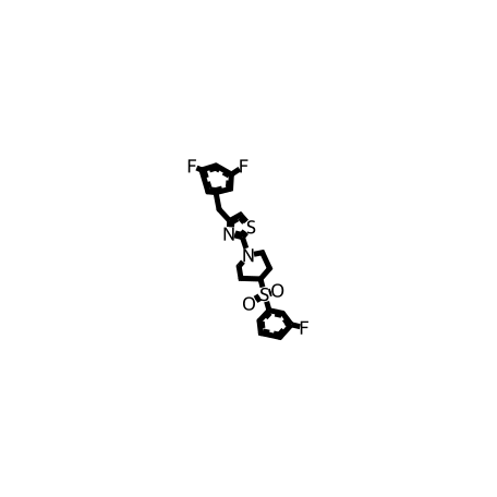 O=S(=O)(c1cccc(F)c1)C1CCN(c2nc(Cc3cc(F)cc(F)c3)cs2)CC1